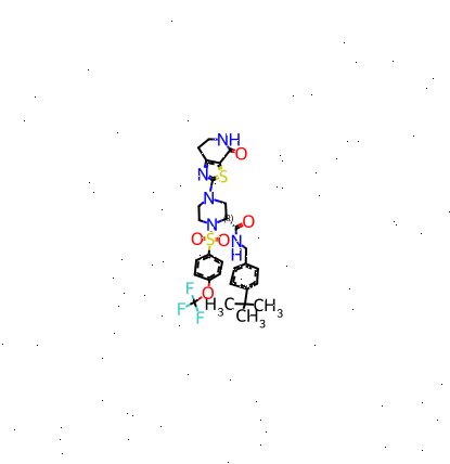 CC(C)(C)c1ccc(CNC(=O)[C@H]2CN(c3nc4c(s3)C(=O)NCC4)CCN2S(=O)(=O)c2ccc(OC(F)(F)F)cc2)cc1